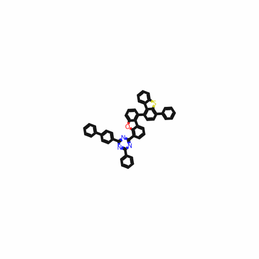 c1ccc(-c2ccc(-c3nc(-c4ccccc4)nc(-c4cccc5c4oc4cccc(-c6ccc(-c7ccccc7)c7sc8ccccc8c67)c45)n3)cc2)cc1